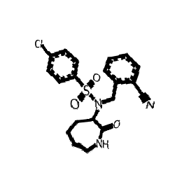 N#Cc1ccccc1CN(C1CCCCNC1=O)S(=O)(=O)c1ccc(Cl)cc1